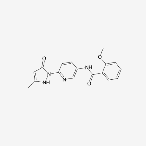 COc1ccccc1C(=O)Nc1ccc(-n2[nH]c(C)cc2=O)nc1